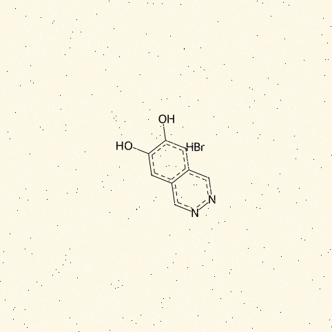 Br.Oc1cc2cnncc2cc1O